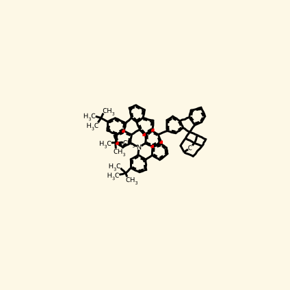 CC(C)(C)c1cc(-c2cccc3cccc(-c4ccccc4N(c4ccc(-c5ccc6c(c5)C5(c7ccccc7-6)C6CC7CC8CC5C86C7)cc4)c4cc(C(C)(C)C)ccc4-c4ccccc4)c23)cc(C(C)(C)C)c1